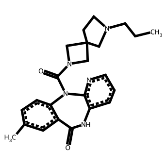 CCCN1CCC2(C1)CN(C(=O)N1c3ccc(C)cc3C(=O)Nc3cccnc31)C2